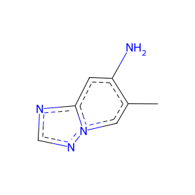 Cc1cn2ncnc2cc1N